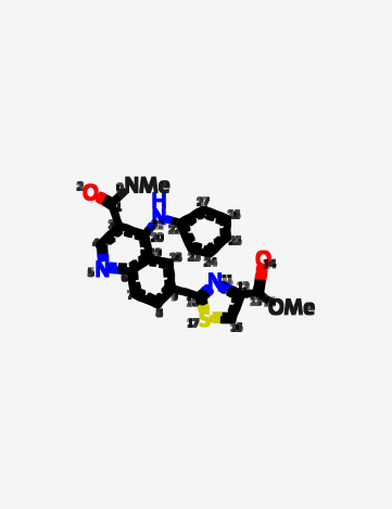 CNC(=O)c1cnc2ccc(-c3nc(C(=O)OC)cs3)cc2c1Nc1ccccc1